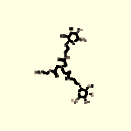 C[C@@H]1O[C@@H](OCCNC(=O)CN(CC(=O)NCCO[C@@H]2O[C@@H](C)[C@@H](O)[C@@H](O)[C@@H]2O)CC(=O)NCC(=O)O)[C@@H](O)[C@H](O)[C@@H]1O